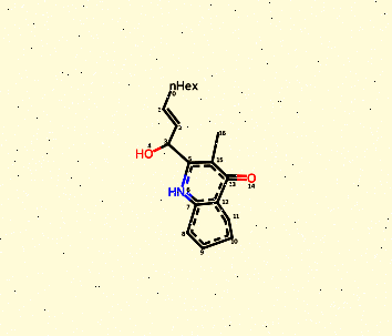 CCCCCCC=CC(O)c1[nH]c2ccccc2c(=O)c1C